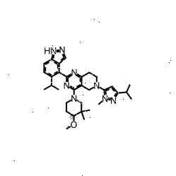 CO[C@H]1CCN(c2nc(-c3c(C(C)C)ccc4[nH]ncc34)nc3c2CN(c2cc(C(C)C)nn2C)CC3)CC1(C)C